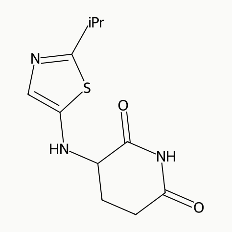 CC(C)c1ncc(NC2CCC(=O)NC2=O)s1